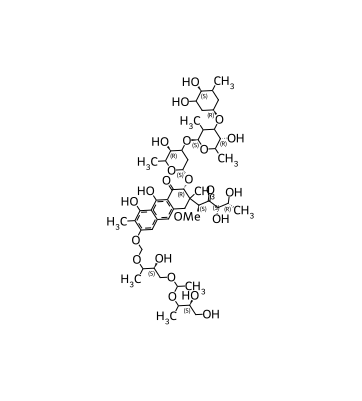 CO[C@H](C(=O)[C@@H](O)[C@@H](C)O)C1(C)Cc2cc3cc(OCOC(C)[C@@H](O)COC(C)OC(C)[C@@H](O)CO)c(C)c(O)c3c(O)c2C(=O)[C@@H]1O[C@H]1CC(O[C@@H]2OC(C)[C@@H](O)C(O[C@@H]3CC(C)[C@H](O)C(O)C3)C2C)[C@H](O)C(C)O1